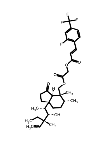 C=C[C@](C)(CC)[C@@H](O)[C@H](C)[C@]12CCC(=O)[C@H]1[C@](C)(COC(=O)COC(=O)/C=C/c1ccc(C(F)(F)F)cc1F)[C@H](C)CC2